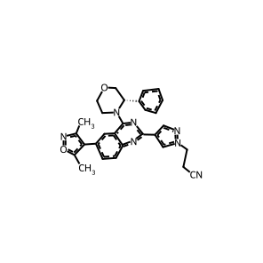 Cc1noc(C)c1-c1ccc2nc(-c3cnn(CCC#N)c3)nc(N3CCOC[C@@H]3c3ccccc3)c2c1